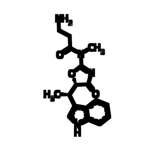 C[C@H](c1c[nH]c2ccccc12)[C@@H]1OC(N(C)C(=O)CCN)=NC1=O